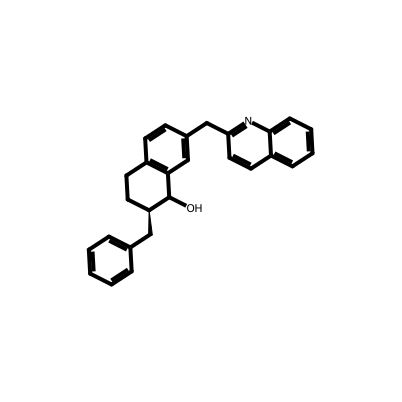 OC1c2cc(Cc3ccc4ccccc4n3)ccc2CC[C@@H]1Cc1ccccc1